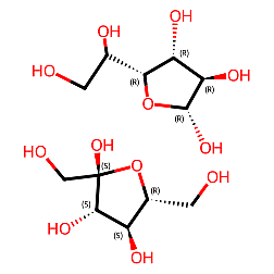 OCC(O)[C@H]1O[C@@H](O)[C@H](O)[C@H]1O.OC[C@H]1O[C@@](O)(CO)[C@@H](O)[C@@H]1O